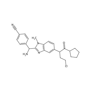 Cn1c(C(N)c2ccc(C#N)cc2)nc2cc(C(CCCl)C(=O)C3CCCC3)ccc21